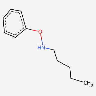 CCCCCNOc1ccccc1